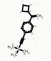 C=C(c1ccc(C#C[Si](C)(C)C)cc1)C1CCC1